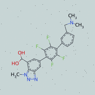 CN(C)Cc1cccc(-c2c(F)c(F)c(-c3cc(C(O)O)c4c(c3)nnn4C)c(F)c2F)c1